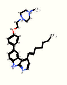 CCCCC/C=C/c1ccnc2[nH]c3ccc(-c4ccc(OCCN5CCN(C)CC5)cc4)cc3c12